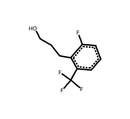 OCCCc1c(F)cccc1C(F)(F)F